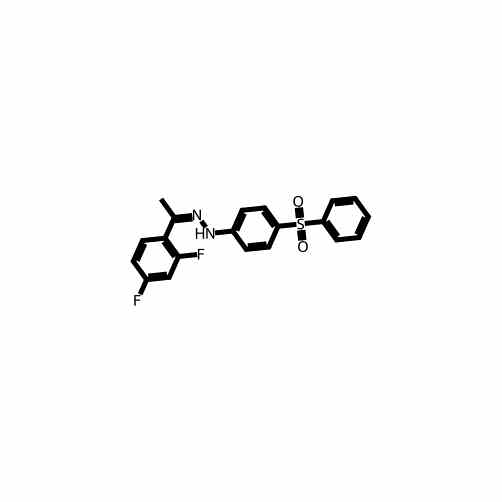 CC(=NNc1ccc(S(=O)(=O)c2ccccc2)cc1)c1ccc(F)cc1F